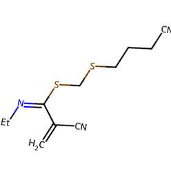 C=C(C#N)/C(=N\CC)SCSCCCC#N